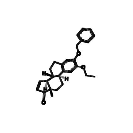 CCOc1cc2c(cc1OCc1ccccc1)CC[C@@H]1[C@@H]2CC[C@]2(C)C(=O)C=C[C@@H]12